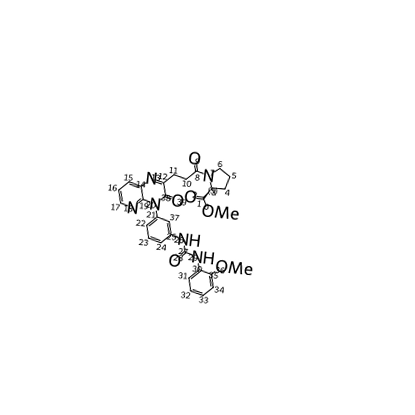 COC(=O)[C@@H]1CCCN1C(=O)CCc1nc2cccnc2n(-c2cccc(NC(=O)Nc3ccccc3OC)c2)c1=O